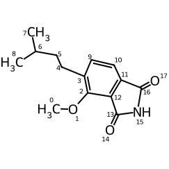 COc1c(CCC(C)C)ccc2c1C(=O)NC2=O